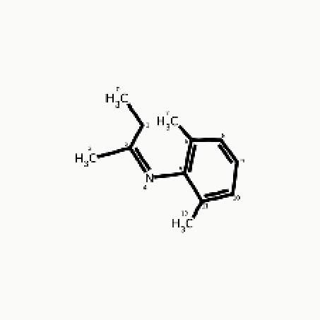 CCC(C)=Nc1c(C)cccc1C